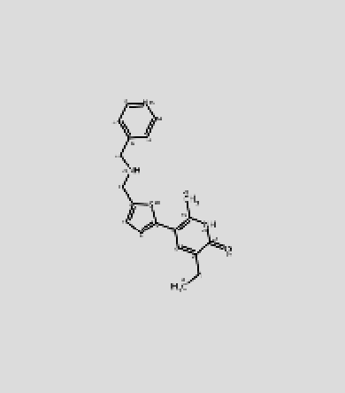 CCc1cc(-c2ccc(CNCc3ccncc3)s2)c(C)[nH]c1=O